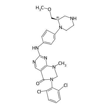 COC[C@H]1CNCCN1c1ccc(Nc2ncc3c(n2)N(C)CN(c2c(Cl)cccc2Cl)C3=O)cc1